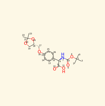 CC(C)(C)OC(=O)N[C@@H](C(=O)O)c1ccc(OC[C@@H]2COC(C)(C)O2)cc1